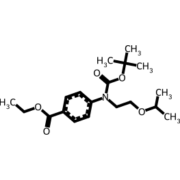 CCOC(=O)c1ccc(N(CCOC(C)C)C(=O)OC(C)(C)C)cc1